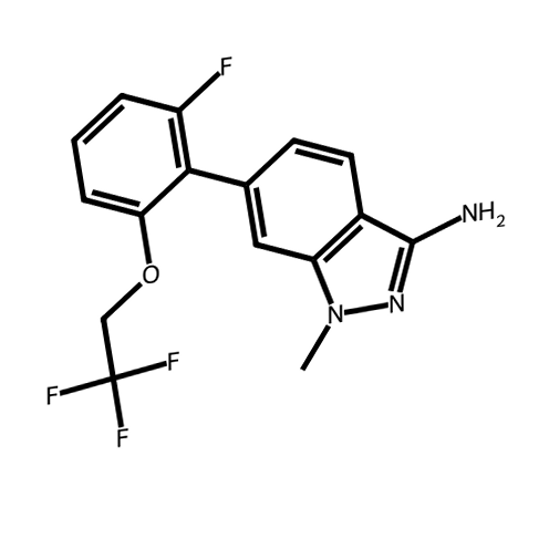 Cn1nc(N)c2ccc(-c3c(F)cccc3OCC(F)(F)F)cc21